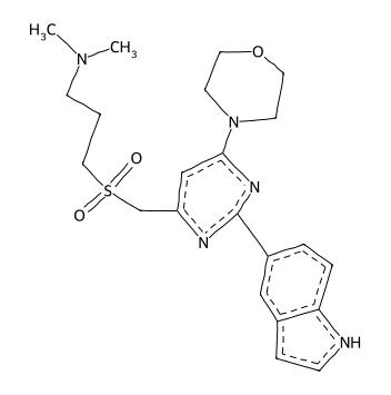 CN(C)CCCS(=O)(=O)Cc1cc(N2CCOCC2)nc(-c2ccc3[nH]ccc3c2)n1